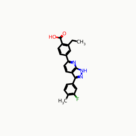 CCc1cc(-c2ccc3c(-c4ccc(C)c(F)c4)n[nH]c3n2)ccc1C(=O)O